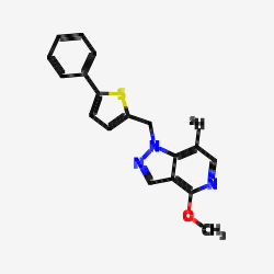 [2H]c1cnc(OC)c2cnn(Cc3ccc(-c4ccccc4)s3)c12